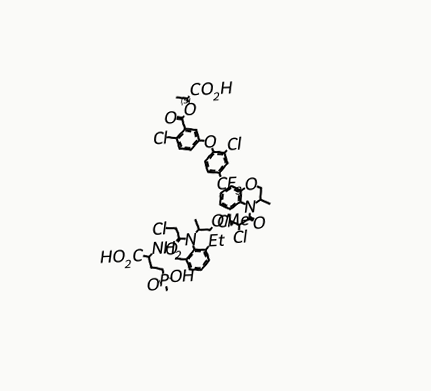 CC1COc2ccccc2N1C(=O)C(Cl)Cl.CCc1cccc(C)c1N(C(=O)CCl)C(C)COC.CP(=O)(O)CCC(N)C(=O)O.C[C@H](OC(=O)c1cc(Oc2ccc(C(F)(F)F)cc2Cl)ccc1Cl)C(=O)O